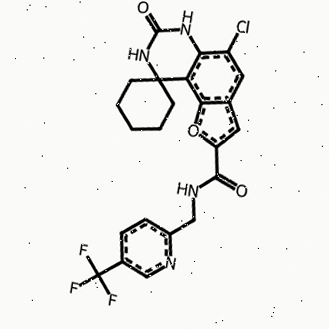 O=C1Nc2c(Cl)cc3cc(C(=O)NCc4ccc(C(F)(F)F)cn4)oc3c2C2(CCCCC2)N1